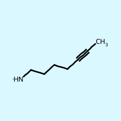 CC#CCCCC[NH]